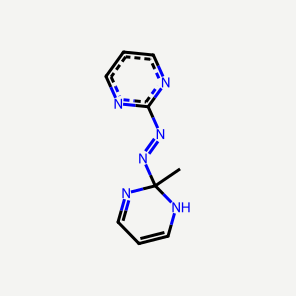 CC1(N=Nc2ncccn2)N=CC=CN1